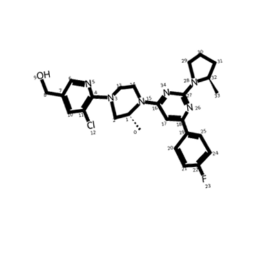 C[C@@H]1CN(c2ncc(CO)cc2Cl)CCN1c1cc(-c2ccc(F)cc2)nc(N2CCC[C@H]2C)n1